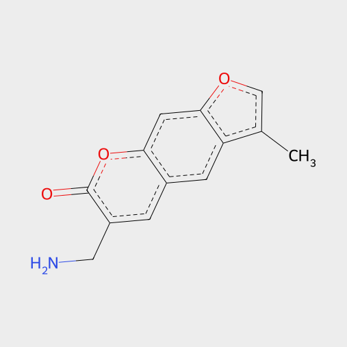 Cc1coc2cc3oc(=O)c(CN)cc3cc12